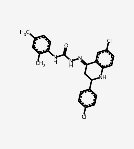 Cc1ccc(NC(=O)NN=C2CC(c3ccc(Cl)cc3)Nc3ccc(Cl)cc32)c(C)c1